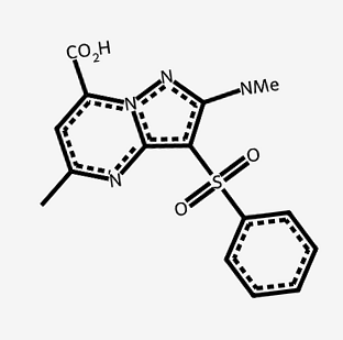 CNc1nn2c(C(=O)O)cc(C)nc2c1S(=O)(=O)c1ccccc1